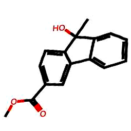 COC(=O)c1ccc2c(c1)-c1ccccc1C2(C)O